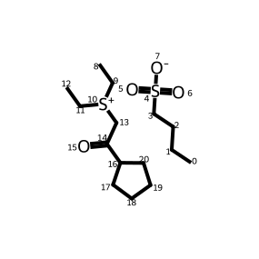 CCCCS(=O)(=O)[O-].CC[S+](CC)CC(=O)C1CCCC1